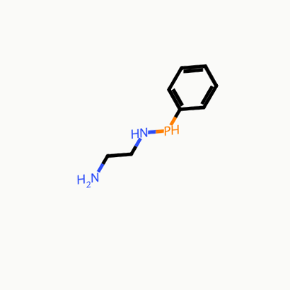 NCCNPc1ccccc1